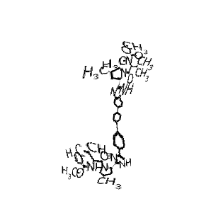 COC(=O)NC(C(=O)N1C[C@@H](C)C[C@H]1c1nc(-c2ccc(-c3ccc(-c4ccc5[nH]c([C@@H]6C[C@H](C)CN6C(=O)[C@H](C(C)C)N(C)C(=O)OC)nc5c4)cc3)cc2)c[nH]1)C(C)C